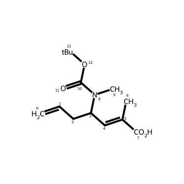 C=CCC(C=C(C)C(=O)O)N(C)C(=O)OC(C)(C)C